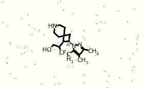 Cc1nn([C@@H]2CC3(CCNCC3)C2C(CO)C(F)(F)F)c(C)c1C